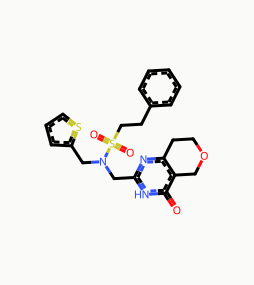 O=c1[nH]c(CN(Cc2cccs2)S(=O)(=O)CCc2ccccc2)nc2c1COCC2